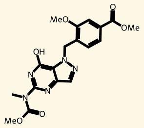 COC(=O)c1ccc(Cn2ncc3nc(N(C)C(=O)OC)nc(O)c32)c(OC)c1